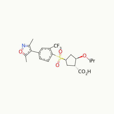 Cc1noc(C)c1-c1ccc(S(=O)(=O)[C@H]2C[C@@H](OC(C)C)[C@H](C(=O)O)C2)c(C(F)(F)F)c1